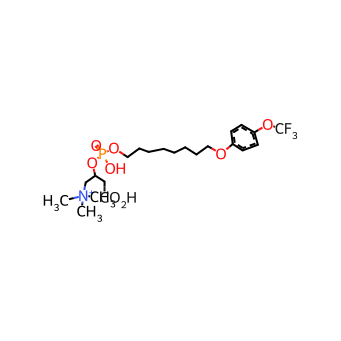 C[N+](C)(C)CC(CC(=O)O)OP(=O)(O)OCCCCCCCCOc1ccc(OC(F)(F)F)cc1